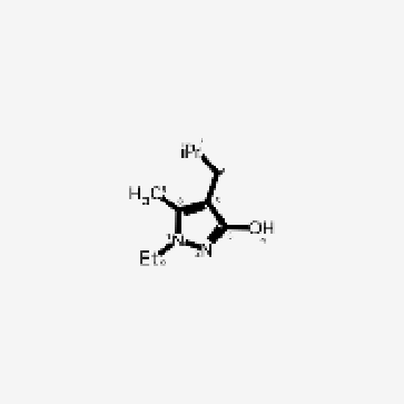 CCn1nc(O)c(CC(C)C)c1C